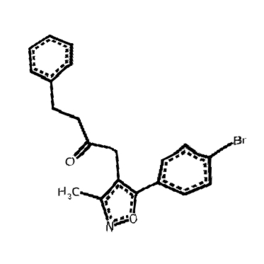 Cc1noc(-c2ccc(Br)cc2)c1CC(=O)CCc1ccccc1